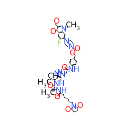 CCn1cc(C=O)c(=O)c2cc(F)c(N3CCN(C(=O)OCc4ccc(NC(=O)Cn5cc(C(NC(=O)[C@H](C)NC(=O)CCCCCN6C(=O)CCC6=O)C(C)C)nn5)cc4)CC3)cc21